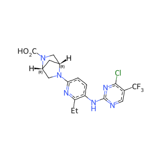 CCc1nc(N2C[C@H]3C[C@@H]2CN3C(=O)O)ccc1Nc1ncc(C(F)(F)F)c(Cl)n1